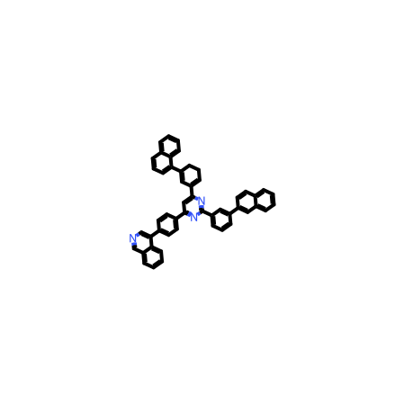 C1=C(c2cc(-c3ccc(-c4cncc5ccccc45)cc3)nc(-c3cccc(-c4ccc5ccccc5c4)c3)n2)C=C(c2cccc3ccccc23)CC1